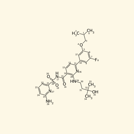 CC(C)COc1cc(F)cc(-c2ccc(C(=O)NS(=O)(=O)c3cccc(N)n3)c(NCCC(C)(C)O)n2)c1